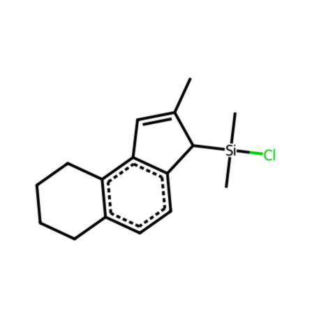 CC1=Cc2c(ccc3c2CCCC3)C1[Si](C)(C)Cl